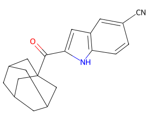 N#Cc1ccc2[nH]c(C(=O)C34CC5CC(CC(C5)C3)C4)cc2c1